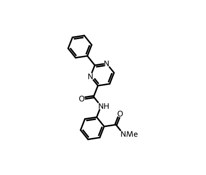 CNC(=O)c1ccccc1NC(=O)c1ccnc(-c2ccccc2)n1